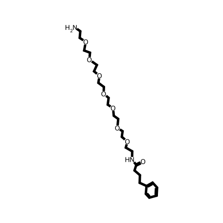 NCCOCCOCCOCCOCCOCCOCCOCCNC(=O)CCCc1ccccc1